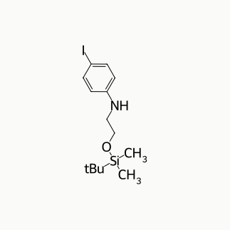 CC(C)(C)[Si](C)(C)OCCNc1ccc(I)cc1